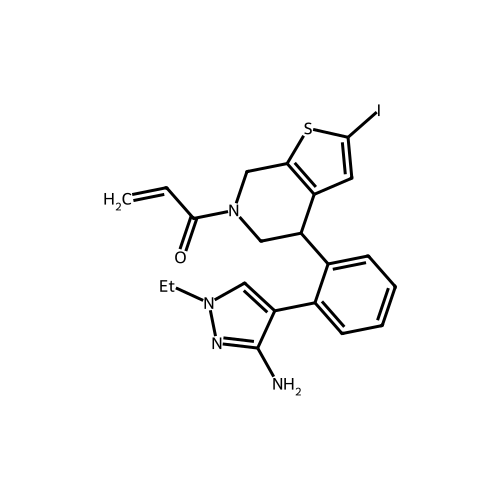 C=CC(=O)N1Cc2sc(I)cc2C(c2ccccc2-c2cn(CC)nc2N)C1